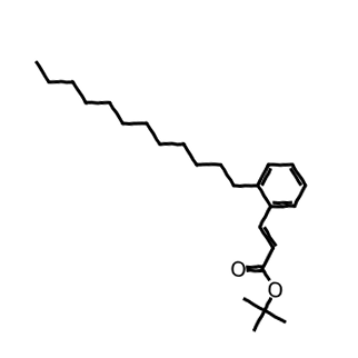 CCCCCCCCCCCCc1ccccc1C=CC(=O)OC(C)(C)C